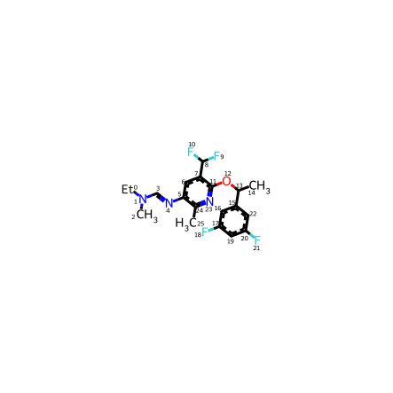 CCN(C)/C=N/c1cc(C(F)F)c(OC(C)c2cc(F)cc(F)c2)nc1C